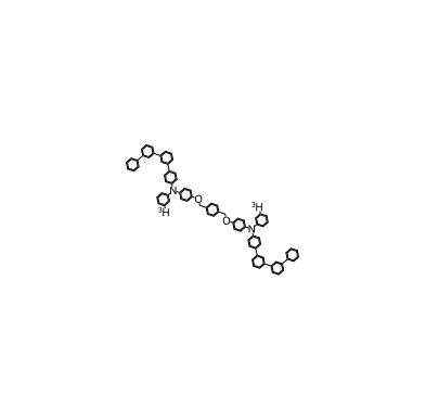 [3H]c1cccc(N(c2ccc(OCc3ccc(COc4ccc(N(c5ccc(-c6cccc(-c7cccc(-c8ccccc8)c7)c6)cc5)c5cccc([3H])c5)cc4)cc3)cc2)c2ccc(-c3cccc(-c4cccc(-c5ccccc5)c4)c3)cc2)c1